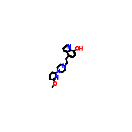 COc1cccc(N2CCN(CCc3ccc(O)c4ncccc34)CC2)n1